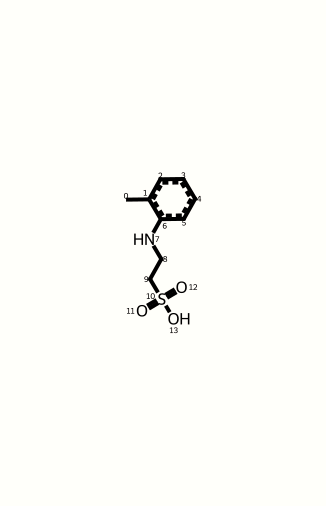 Cc1ccccc1NCCS(=O)(=O)O